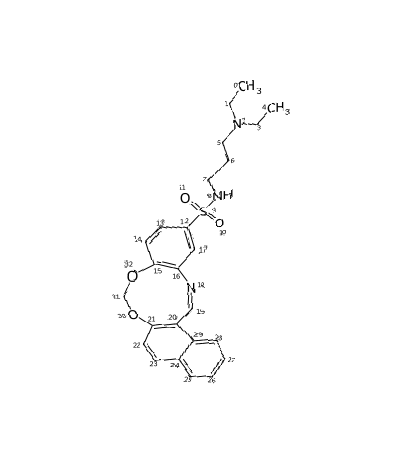 CCN(CC)CCCNS(=O)(=O)c1ccc2c(c1)N=Cc1c(ccc3ccccc13)OCO2